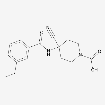 N#CC1(NC(=O)c2cccc(CI)c2)CCN(C(=O)O)CC1